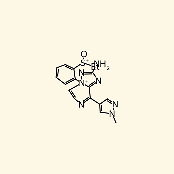 CC[S+]([O-])c1ccccc1[N+]12C=CN=C(c3cnn(C)c3)C1=NC(N)=N2